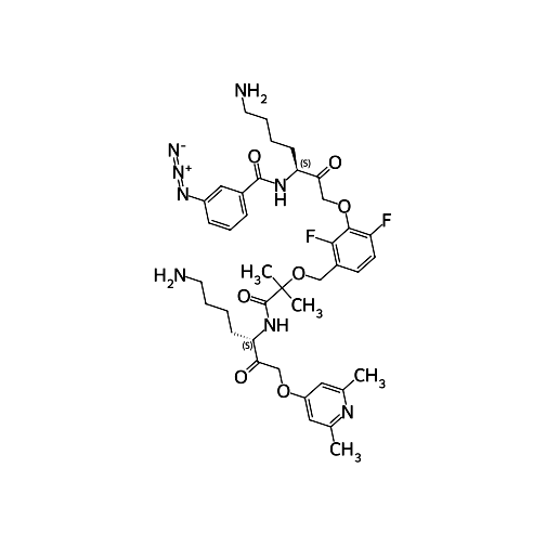 Cc1cc(OCC(=O)[C@H](CCCCN)NC(=O)C(C)(C)OCc2ccc(F)c(OCC(=O)[C@H](CCCCN)NC(=O)c3cccc(N=[N+]=[N-])c3)c2F)cc(C)n1